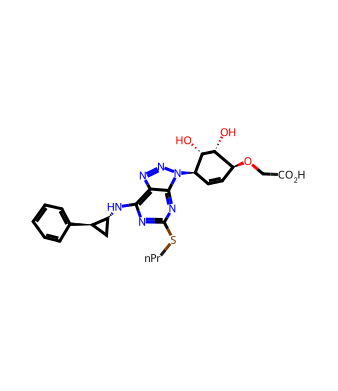 CCCSc1nc(N[C@@H]2C[C@H]2c2ccccc2)c2nnn([C@@H]3C=C[C@H](OCC(=O)O)[C@@H](O)[C@H]3O)c2n1